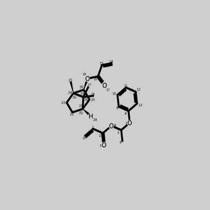 C=CC(=O)OC(C)Oc1ccccc1.C=CC(=O)O[C@H]1C[C@@H]2CC[C@@]1(C)C2(C)C